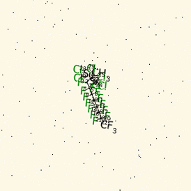 CC(C(F)C(F)(F)C(F)(F)C(F)(F)C(F)(F)C(F)(F)C(F)(F)C(F)(F)F)([Si](Cl)(Cl)Cl)[Si](Cl)(Cl)Cl